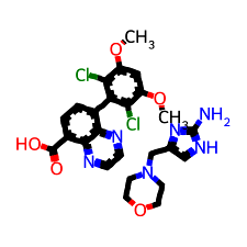 COc1cc(OC)c(Cl)c(-c2ccc(C(=O)O)c3nccnc23)c1Cl.Nc1nc(CN2CCOCC2)c[nH]1